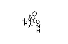 CC(c1cc2ccccc2nc1N)C1CNCCO1